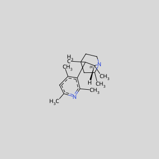 Cc1cc(C)c(C2[C@@H](C)N3CCC2(C)CC3C)c(C)n1